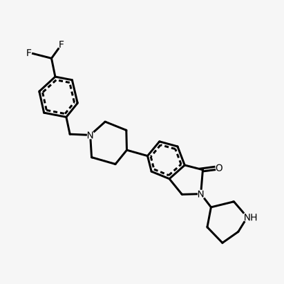 O=C1c2ccc(C3CCN(Cc4ccc(C(F)F)cc4)CC3)cc2CN1C1CCCNC1